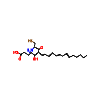 CCCCC/C=C/C/C=C/C=C/C=C/C(C(=O)C(N)CS)C(O)CCCC(=O)O